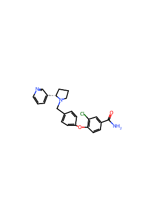 NC(=O)c1ccc(Oc2ccc(CN3CCC[C@H]3c3cccnc3)cc2)c(Cl)c1